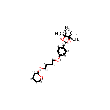 CC1(C)OB(c2ccc(OCCCCOC3CCCCO3)cc2)OC1(C)C